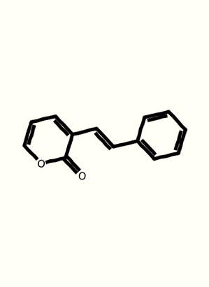 O=c1occcc1C=Cc1ccccc1